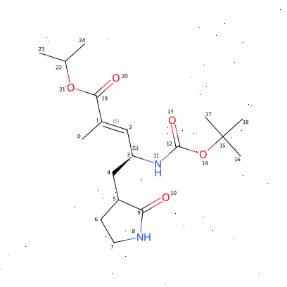 C/C(=C\[C@H](CC1CCNC1=O)NC(=O)OC(C)(C)C)C(=O)OC(C)C